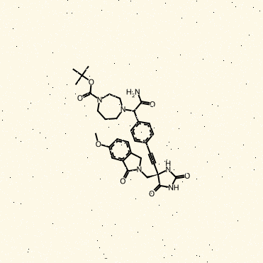 COc1ccc2c(c1)C(=O)N(C[C@@]1(C#Cc3ccc(C(C(N)=O)N4CCCN(C(=O)OC(C)(C)C)CC4)cc3)NC(=O)NC1=O)C2